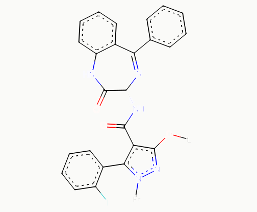 CCOc1nn(CC)c(-c2ccccc2F)c1C(=O)N[C@H]1N=C(c2ccccc2)c2ccccc2NC1=O